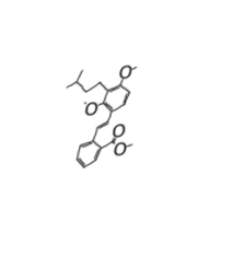 COC(=O)c1ccccc1C=Cc1ccc(OC)c(CCC(C)C)c1OC